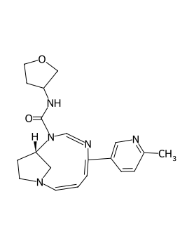 Cc1ccc(C2=CC=CN3CC[C@@H](C3)N(C(=O)NC3CCOC3)C=N2)cn1